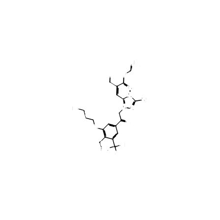 CCOc1nn2c(N)n[n+](CC(=O)c3cc(OCCCO)c(CC)c(C(C)(C)C)c3)c2cc1CC